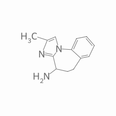 Cc1cn2c(n1)C(N)CCc1ccccc1-2